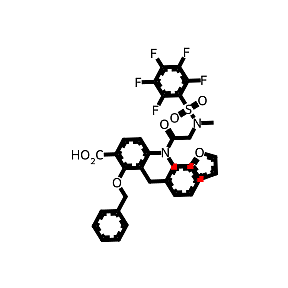 CN(CC(=O)N(Cc1ccco1)c1ccc(C(=O)O)c(OCc2ccccc2)c1Cc1ccccc1)S(=O)(=O)c1c(F)c(F)c(F)c(F)c1F